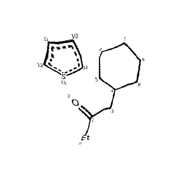 CCC(=O)CC1CCCCC1.c1ccsc1